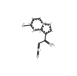 C=C(C=C=O)c1cnn2ccc(Cl)nc12